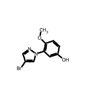 COc1ccc(O)cc1-n1cc(Br)cn1